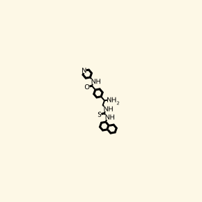 NC(CNC(=S)Nc1cccc2ccccc12)c1ccc(C(=O)Nc2ccncc2)cc1